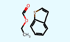 CCOC=O.c1ccc2sccc2c1